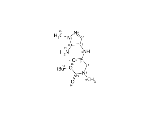 CN(CC(=O)Nc1cnn(C)c1N)C(=O)OC(C)(C)C